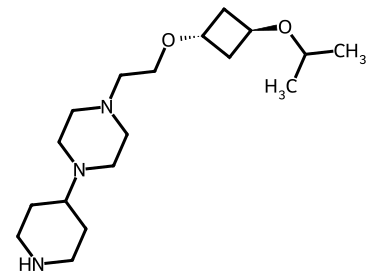 CC(C)O[C@H]1C[C@H](OCCN2CCN(C3CCNCC3)CC2)C1